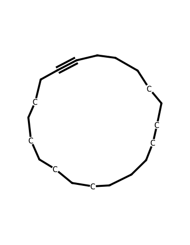 C1#CCCCCCCCCCCCCCCCCCC1